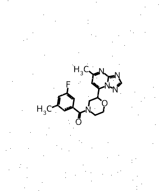 Cc1cc(F)cc(C(=O)N2CCOC(c3cc(C)nc4ncnn34)C2)c1